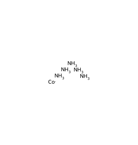 N.N.N.N.N.[Co]